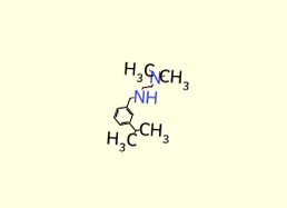 CC(C)c1cccc(CNCCN(C)C)c1